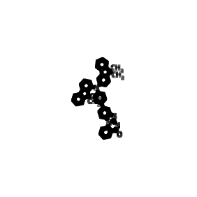 CC1(C)c2ccccc2-c2cc(N(c3ccc(-c4ccc5c(c4)sc4nc(=O)c6ccccc6n45)cc3)c3cccc4c3C(C)(C)c3ccccc3-4)ccc21